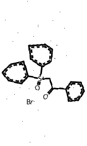 O=C(C[S+](=O)(c1ccccc1)c1ccccc1)c1ccccc1.[Br-]